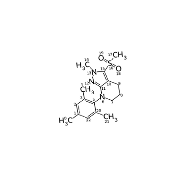 Cc1cc(C)c(N2CCCc3c2nn(C)c3S(C)(=O)=O)c(C)c1